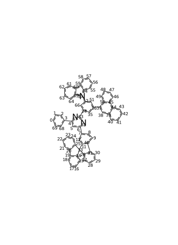 c1ccc(-c2cc(-c3ccc4c(c3)C3(c5ccccc5-c5ccccc53)c3ccccc3-4)nc(-c3cc(-c4cc5ccccc5c5ccccc45)cc(-n4c5ccccc5c5ccccc54)c3)n2)cc1